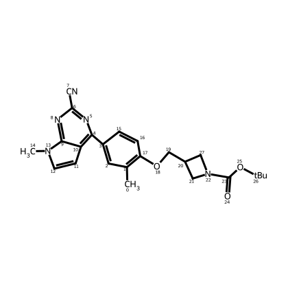 Cc1cc(-c2nc(C#N)nc3c2ccn3C)ccc1OCC1CN(C(=O)OC(C)(C)C)C1